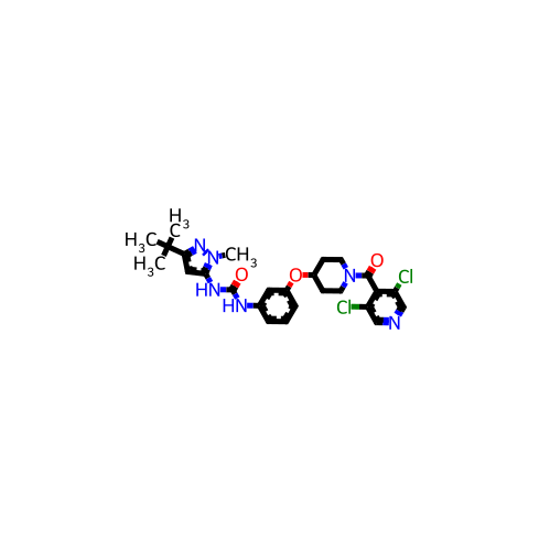 Cn1nc(C(C)(C)C)cc1NC(=O)Nc1cccc(OC2CCN(C(=O)c3c(Cl)cncc3Cl)CC2)c1